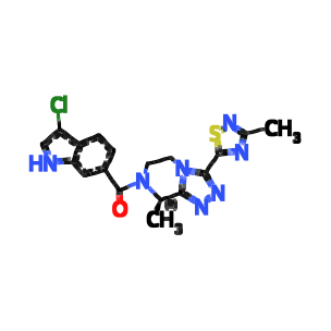 Cc1nsc(-c2nnc3n2CCN(C(=O)c2ccc4c(Cl)c[nH]c4c2)[C@@H]3C)n1